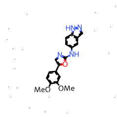 COc1ccc(-c2cnc(Nc3ccc4[nH]ncc4c3)o2)cc1OC